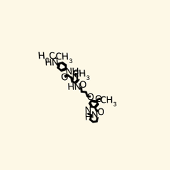 COc1cc2c(cc1OCCCC(=O)Nc1cc(C(=O)Nc3ccc(NC(C)C)cc3)n(C)c1)N=C[C@@H]1CCCCN1C2=O